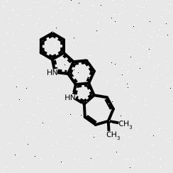 CC1(C)C=Cc2[nH]c3c(ccc4c5ccccc5[nH]c43)c2C=C1